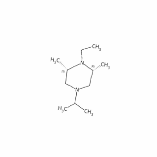 CCN1[C@H](C)CN(C(C)C)C[C@@H]1C